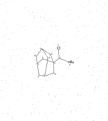 CCCCC(Cl)C12CC3CC(CC(C3)C1)C2